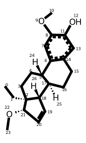 CC[C@]12CC[C@@H]3c4cc(OC)c(O)cc4CC[C@H]3[C@@H]1C=C[C@@H]2OC